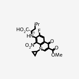 COC(=O)c1cn(C2CC2)c2c([N+](=O)[O-])c(N[C@@H](CC(C)C)C(=O)O)c(F)cc2c1=O